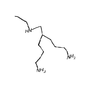 CCNCC(CCCN)CCCN